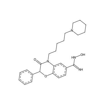 N=C(NO)c1ccc2c(c1)N(CCCCCN1CCCCC1)C(=O)C(c1ccccc1)O2